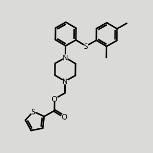 Cc1ccc(Sc2ccccc2N2CCN(COC(=O)c3cccs3)CC2)c(C)c1